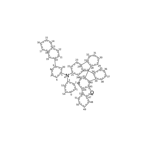 c1ccc(N(c2cccc(-c3ccc4ccccc4c3)c2)c2ccc3c(c2)C2(c4ccccc4-3)c3ccccc3-c3c2ccc2c3oc3ccccc32)cc1